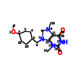 COC1CCC(CN2CN(C)c3c2n(C)c(=O)[nH]c3=O)CC1